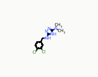 CN(C)c1nnc(NCc2ccc(Cl)c(Cl)c2)[nH]1